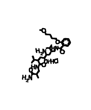 COCCCCOc1ccccc1C(=O)NCC(CC(N)C(O)CC(C(=O)NCC(C)C(N)=O)C(C)C)C(C)C.Cl